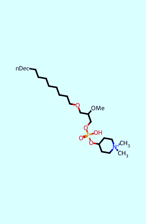 CCCCCCCCCCCCCCCCCCOCC(COP(=O)(O)OC1CC[N+](C)(C)CC1)OC